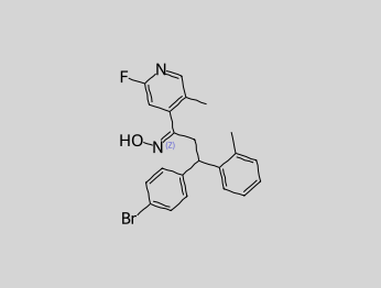 Cc1cnc(F)cc1/C(CC(c1ccc(Br)cc1)c1ccccc1C)=N\O